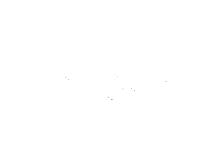 Cc1c2c(cc3c4ccccc4n(I)c13)n1c3cccc(C(C)(C)C)c3nc1n2C